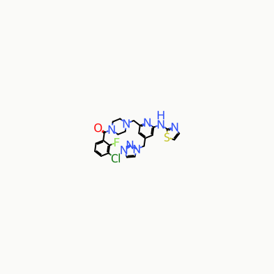 O=C(c1cccc(Cl)c1F)N1CCN(Cc2cc(Cn3ccnn3)cc(Nc3nccs3)n2)CC1